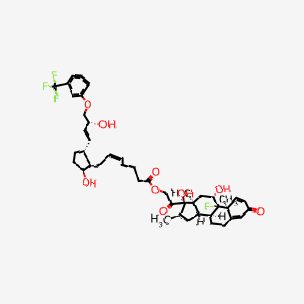 C[C@@H]1C[C@H]2[C@@H]3CCC4=CC(=O)C=C[C@]4(C)[C@@]3(F)[C@@H](O)C[C@]2(C)[C@@]1(O)C(=O)COC(=O)CCC/C=C\C[C@H]1[C@@H](O)CC[C@@H]1/C=C/[C@@H](O)COc1cccc(C(F)(F)F)c1